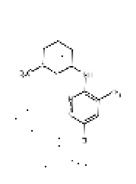 O=C(O)N1CCCC(Nc2nnc(Cl)cc2C(F)(F)F)C1